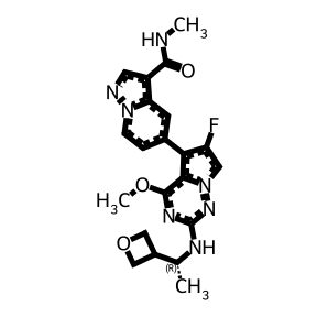 CNC(=O)c1cnn2ccc(-c3c(F)cn4nc(N[C@H](C)C5COC5)nc(OC)c34)cc12